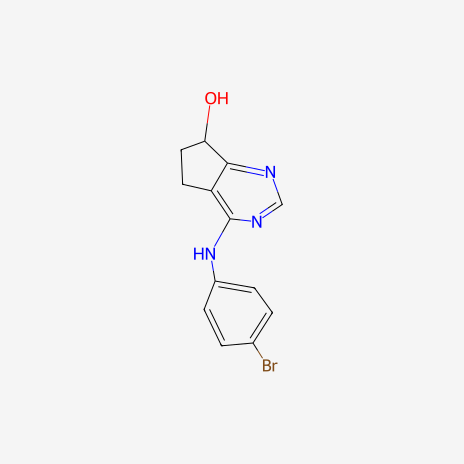 OC1CCc2c(Nc3ccc(Br)cc3)ncnc21